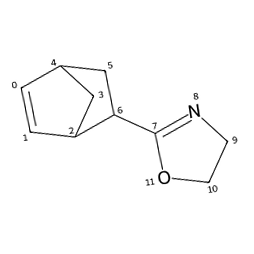 C1=CC2CC1CC2C1=NCCO1